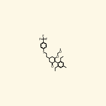 CCc1cc(C)cc(CC)c1C1=C(OCOC)CC(CCSc2ccc(C(F)(F)F)cc2)CC1=O